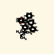 CCO[Si](C)(C)c1ccc(N(c2ccccc2)C2(N(c3ccccc3)c3ccccc3)C=C(c3ccccc3)C=CC2)cc1